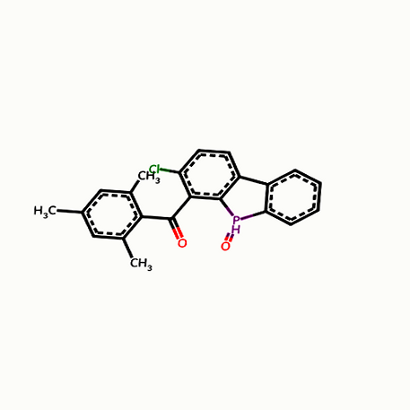 Cc1cc(C)c(C(=O)c2c(Cl)ccc3c2[PH](=O)c2ccccc2-3)c(C)c1